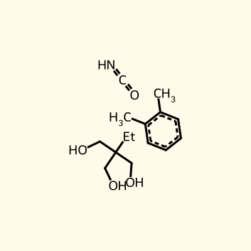 CCC(CO)(CO)CO.Cc1ccccc1C.N=C=O